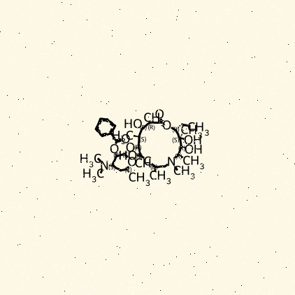 CC[C@H]1OC(=O)[C@H](C)[C@@H](O)[C@H](C)[C@@H](O[C@@H]2O[C@H](C)C[C@H](N(C)C)[C@H]2OC(=O)c2ccccc2)[C@](C)(O)C[C@@H](C)CN(C)[C@H](C)[C@@H](O)[C@]1(C)O